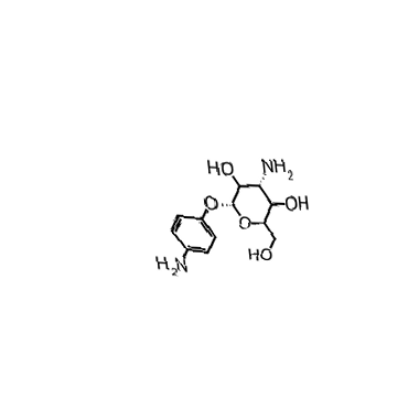 Nc1ccc(O[C@H]2OC(CO)C(O)[C@@H](N)C2O)cc1